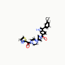 O=C(c1ccc2c(c1)NCC2c1cccc(C(F)(F)F)c1)N1CC(N2CCN(C(=O)c3nccs3)CC2)C1